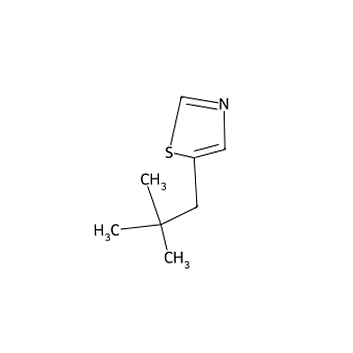 CC(C)(C)Cc1cncs1